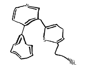 NCc1ccc(-c2cnccc2-c2ccccc2)s1